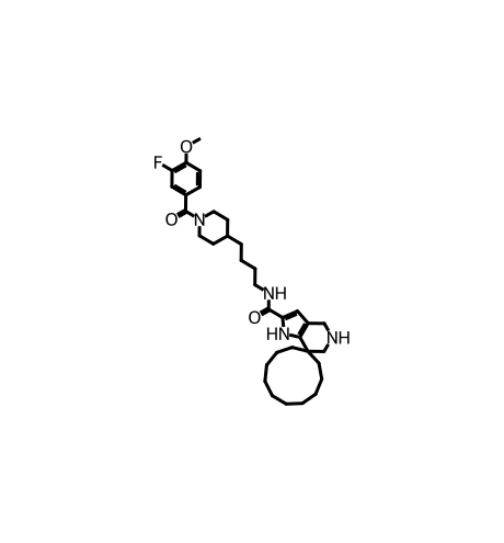 COc1ccc(C(=O)N2CCC(CCCCNC(=O)c3cc4c([nH]3)C3(CCCCCCCCCC3)CNC4)CC2)cc1F